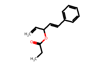 C=CC(C=Cc1ccccc1)OC(=O)CC